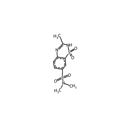 CC1=Nc2ccc(S(=O)(=O)N(C)C)cc2S(=O)(=O)N1